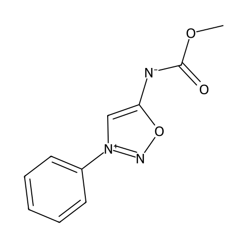 COC(=O)[N-]c1c[n+](-c2ccccc2)no1